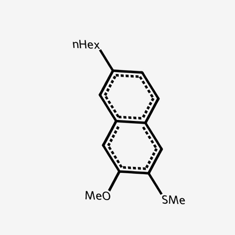 CCCCCCc1ccc2cc(SC)c(OC)cc2c1